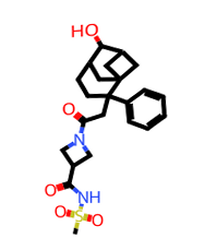 CS(=O)(=O)NC(=O)C1CN(C(=O)CC2(c3ccccc3)CCC3CC24CC(C4)C3O)C1